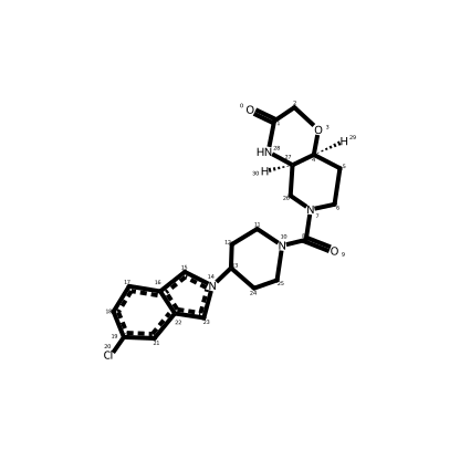 O=C1CO[C@H]2CCN(C(=O)N3CCC(n4cc5ccc(Cl)cc5c4)CC3)C[C@H]2N1